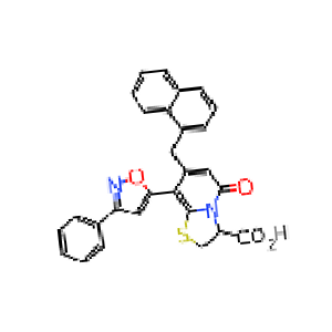 O=C(O)C1CSc2c(-c3cc(-c4ccccc4)no3)c(Cc3cccc4ccccc34)cc(=O)n21